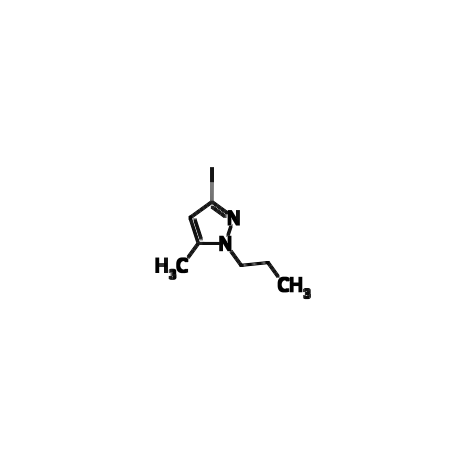 CCCn1nc(I)cc1C